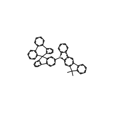 CC1(C)c2ccccc2-c2cc3c4ccccc4n(-c4ccc5c(c4)C4(c6ccccc6-c6ccccc6-c6ccccc64)c4ccccc4-5)c3cc21